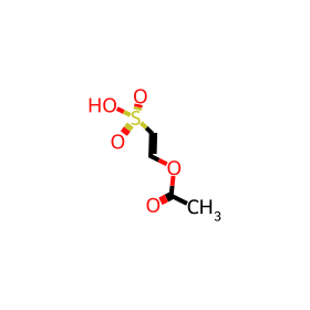 CC(=O)OC=CS(=O)(=O)O